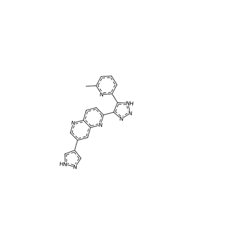 Cc1cccc(-c2[nH]nnc2-c2ccc3ncc(-c4cn[nH]c4)cc3n2)n1